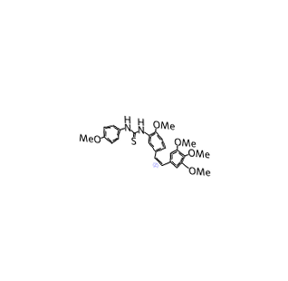 COc1ccc(NC(=S)Nc2cc(/C=C\c3cc(OC)c(OC)c(OC)c3)ccc2OC)cc1